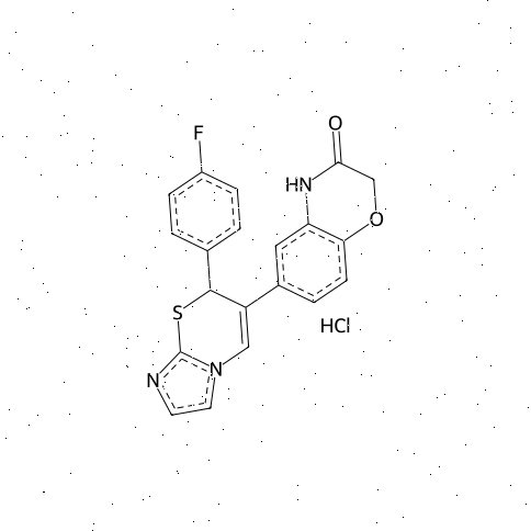 Cl.O=C1COc2ccc(C3=Cn4ccnc4SC3c3ccc(F)cc3)cc2N1